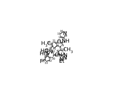 CCn1nnc2c(C)c(C(CC(=O)Nc3cccnc3)c3ccc(C)c(CN4CC(C)Cc5ccc(F)cc5S4(O)O)c3)ccc21